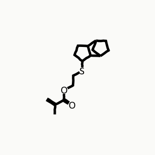 C=C(C)C(=O)OCCSC1CCC2C3CCC(C3)C12